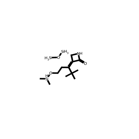 C[SiH](C)OCCC(=C1CNC1=O)C(C)(C)C.[SiH3]O[SiH3]